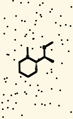 CO[C@@H](C)[C@@H]1CCCCN1C